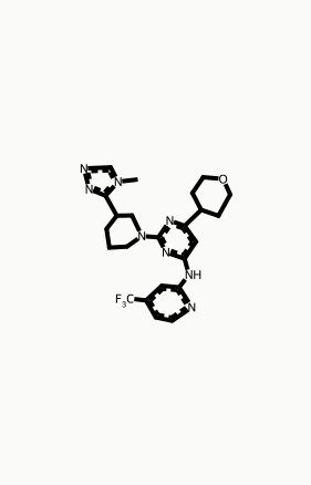 Cn1cnnc1C1CCCN(c2nc(Nc3cc(C(F)(F)F)ccn3)cc(C3CCOCC3)n2)C1